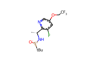 C[C@@H](N[S+]([O-])C(C)(C)C)c1ncc(OCC(F)(F)F)cc1F